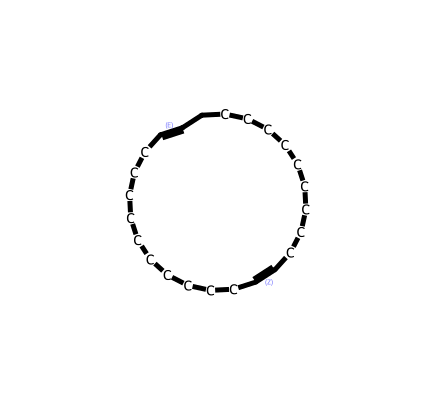 C1=C\CCCCCCCCCC/C=C/CCCCCCCCCC/1